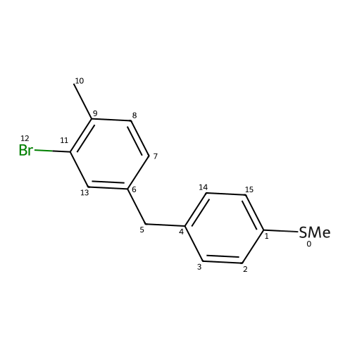 CSc1ccc(Cc2ccc(C)c(Br)c2)cc1